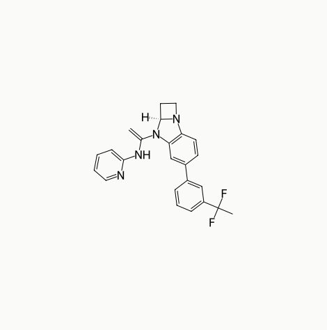 C=C(Nc1ccccn1)N1c2cc(-c3cccc(C(C)(F)F)c3)ccc2N2CC[C@@H]21